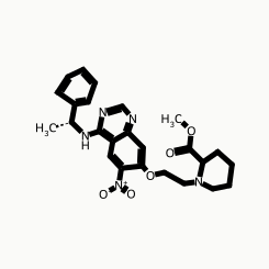 COC(=O)C1CCCCN1CCOc1cc2ncnc(N[C@H](C)c3ccccc3)c2cc1[N+](=O)[O-]